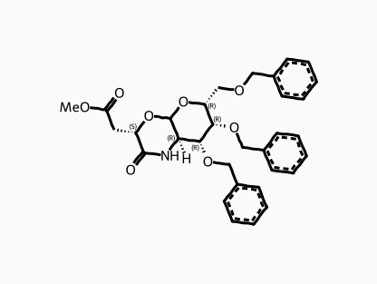 COC(=O)C[C@@H]1OC2O[C@H](COCc3ccccc3)[C@H](OCc3ccccc3)[C@H](OCc3ccccc3)[C@H]2NC1=O